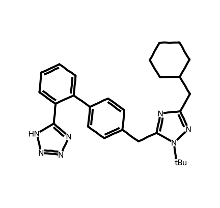 CC(C)(C)n1nc(CC2CCCCC2)nc1Cc1ccc(-c2ccccc2-c2nnn[nH]2)cc1